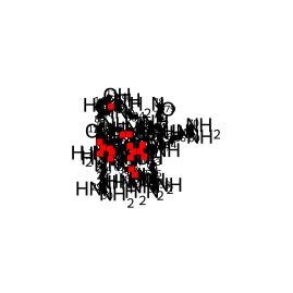 C#CCCC(=O)N[C@@H](Cc1ccc(O)cc1)C(=O)NCC(=O)N[C@@H](CCCNC(=N)N)C(=O)N[C@@H](CCCCN)C(=O)N[C@@H](CCCCN)C(=O)N[C@@H](CCCNC(=N)N)C(=O)N[C@@H](CCCNC(=N)N)C(=O)N[C@@H](CCC(N)=O)C(=O)N[C@@H](CCCNC(=N)N)C(=O)N[C@@H](CCCNC(=N)N)C(=O)N[C@@H](CCCNC(=N)N)C(=O)O